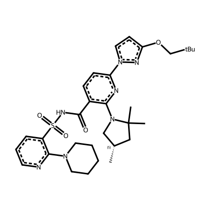 C[C@@H]1CN(c2nc(-n3ccc(OCC(C)(C)C)n3)ccc2C(=O)NS(=O)(=O)c2cccnc2N2CCCCC2)C(C)(C)C1